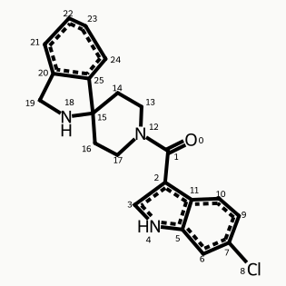 O=C(c1c[nH]c2cc(Cl)ccc12)N1CCC2(CC1)NCc1ccccc12